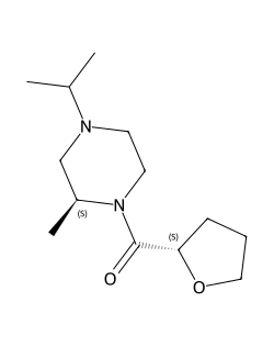 CC(C)N1CCN(C(=O)[C@@H]2CCCO2)[C@@H](C)C1